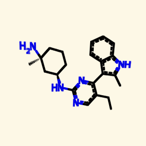 CCc1cnc(N[C@@H]2CCC[C@](C)(N)C2)nc1-c1c(C)[nH]c2ccccc12